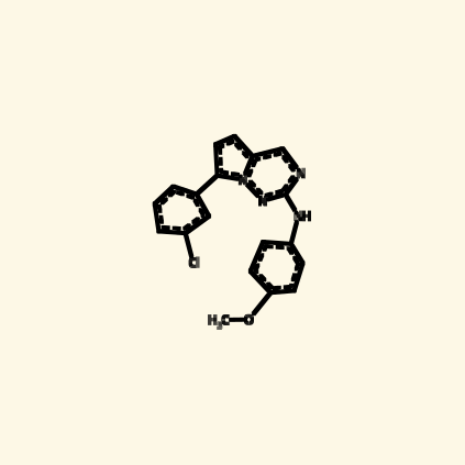 COc1ccc(Nc2ncc3ccc(-c4cccc(Cl)c4)n3n2)cc1